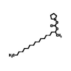 CCCCCCCCCCCCCCCC(C)OC(=O)ON1CCCC1